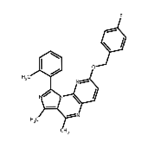 Cc1ccccc1-c1nc(C)c2c(C)nc3ccc(OCc4ccc(F)cc4)nc3n12